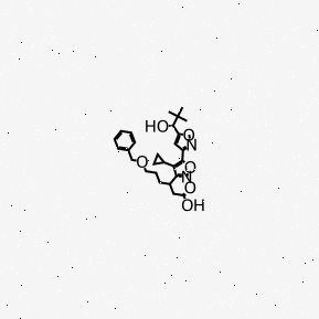 CC(C)(C)[C@H](O)c1cc(-c2onc(C(CCCOCc3ccccc3)CC(=O)O)c2C2CC2)no1